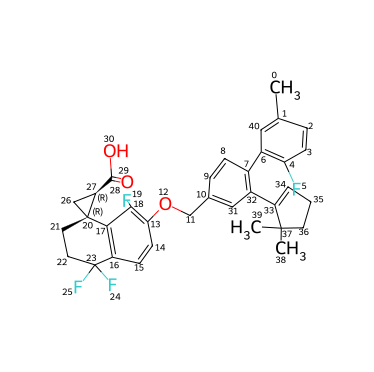 Cc1ccc(F)c(-c2ccc(COc3ccc4c(c3F)[C@]3(CCC4(F)F)C[C@H]3C(=O)O)cc2C2=CCCC2(C)C)c1